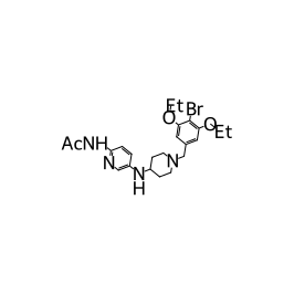 CCOc1cc(CN2CCC(Nc3ccc(NC(C)=O)nc3)CC2)cc(OCC)c1Br